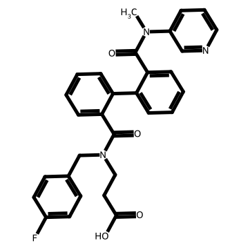 CN(C(=O)c1ccccc1-c1ccccc1C(=O)N(CCC(=O)O)Cc1ccc(F)cc1)c1cccnc1